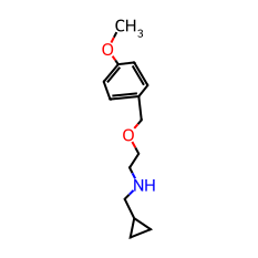 COc1ccc(COCCNCC2CC2)cc1